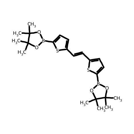 CC1(C)OB(c2ccc(/C=C/c3ccc(B4OC(C)(C)C(C)(C)O4)s3)s2)OC1(C)C